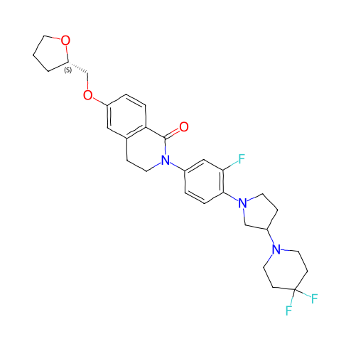 O=C1c2ccc(OC[C@@H]3CCCO3)cc2CCN1c1ccc(N2CCC(N3CCC(F)(F)CC3)C2)c(F)c1